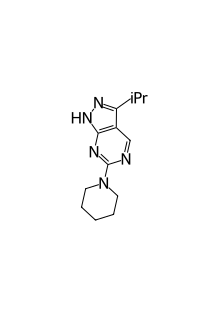 CC(C)c1n[nH]c2nc(N3CCCCC3)ncc12